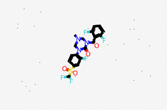 CN1CN(C(=O)c2c(F)cccc2F)C(=O)N(c2ccc(S(=O)(=O)C(F)F)cc2F)C1